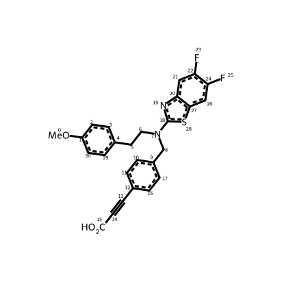 COc1ccc(CCN(Cc2ccc(C#CC(=O)O)cc2)c2nc3cc(F)c(F)cc3s2)cc1